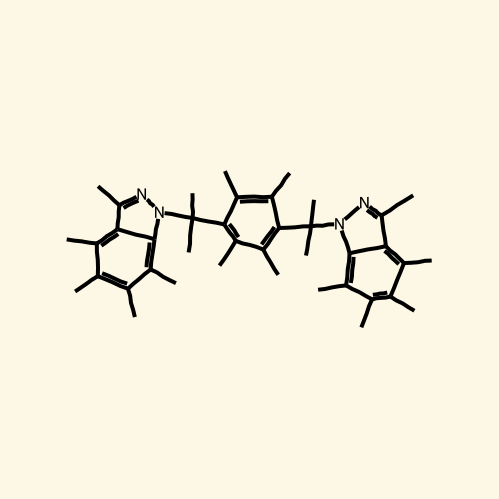 Cc1c(C)c(C(C)(C)n2nc(C)c3c(C)c(C)c(C)c(C)c32)c(C)c(C)c1C(C)(C)n1nc(C)c2c(C)c(C)c(C)c(C)c21